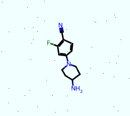 N#Cc1ccc(N2CCC(N)CC2)cc1F